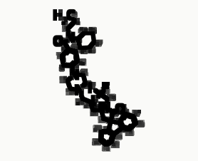 C=CCN(C(=O)c1ccc(N2CCN(CCCCCC3(C(=O)NCC(F)(F)F)c4ccccc4-c4ccccc43)CC2)cc1)C1CCCCC1